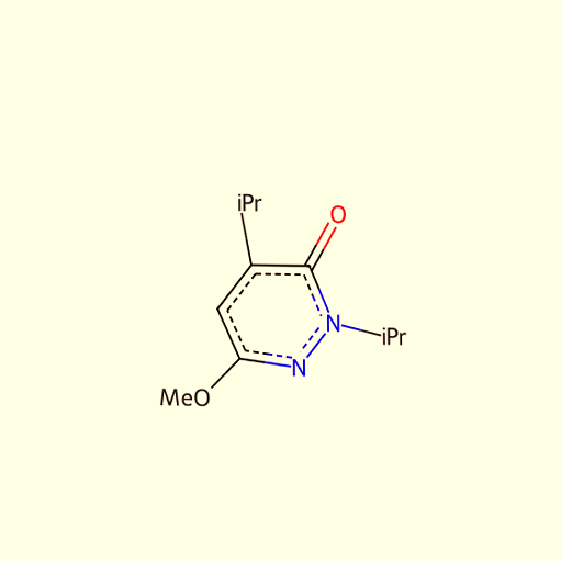 COc1cc(C(C)C)c(=O)n(C(C)C)n1